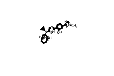 Cn1cnc(-c2ccc(-c3ncc(N(C4CC4)[C@@H]4C[C@H]5CCC[C@@H](C4)N5)nn3)c(O)c2)n1